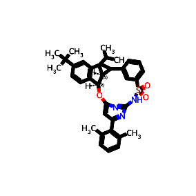 Cc1cccc(C)c1-c1cc2nc(n1)NS(=O)(=O)c1cccc(c1)C1Cc3cc(C(C)(C)C)ccc3[C@H](O2)[C@H]1CC(C)C